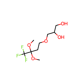 COC(CCOCC(O)CO)(OC)C(F)(F)F